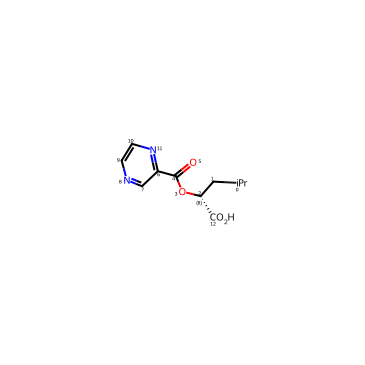 CC(C)C[C@@H](OC(=O)c1cnccn1)C(=O)O